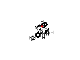 Cc1cc(Nc2nc(N[C@@H]3C[C@H]4CC[C@@H](C3)N4CCC#N)nc3cc(-n4ccnc4)ccc23)n[nH]1